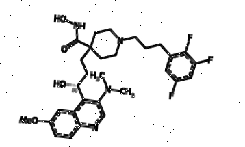 COc1ccc2ncc(N(C)C)c([C@H](O)CCC3(C(=O)NO)CCN(CCCc4cc(F)cc(F)c4F)CC3)c2c1